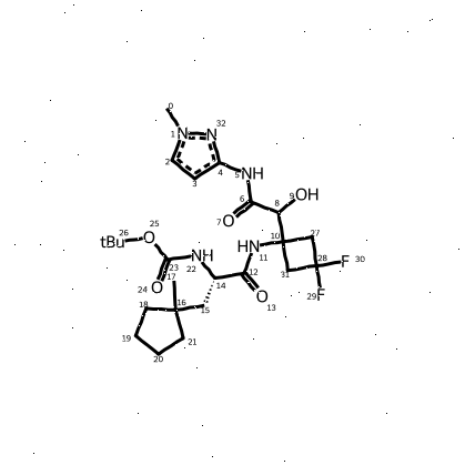 Cn1ccc(NC(=O)C(O)C2(NC(=O)[C@H](CC3(C)CCCC3)NC(=O)OC(C)(C)C)CC(F)(F)C2)n1